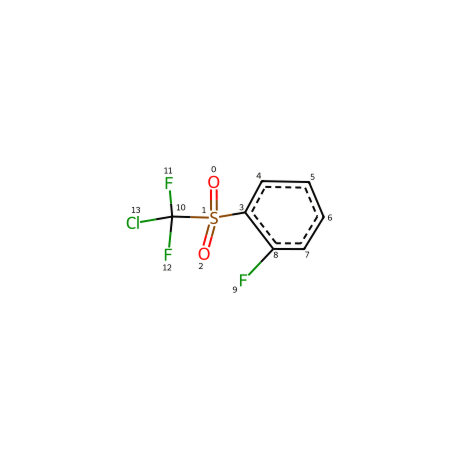 O=S(=O)(c1ccccc1F)C(F)(F)Cl